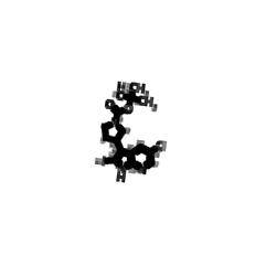 CC(C)(C)OC(=O)N1CCC(c2c(I)[nH]c3ncc(Cl)cc23)C1